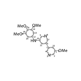 COc1cncc(-c2cncc(Nc3cc(OC)c(OC)c(OC)c3)c2)c1